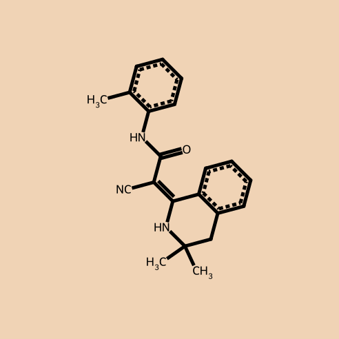 Cc1ccccc1NC(=O)/C(C#N)=C1/NC(C)(C)Cc2ccccc21